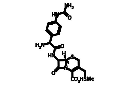 CSCC1=C(C(=O)O)N2C(=O)C(NC(=O)C(N)c3ccc(NC(N)=O)cc3)[C@@H]2SC1